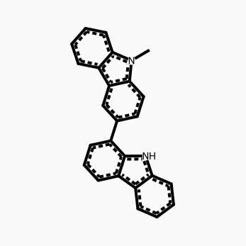 Cn1c2ccccc2c2cc(-c3cccc4c3[nH]c3ccccc34)ccc21